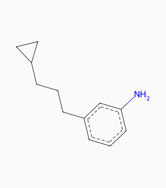 Nc1cccc(CCCC2CC2)c1